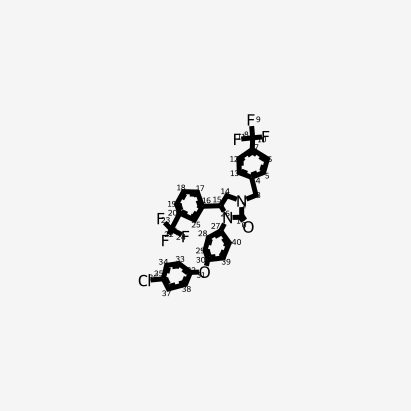 O=C1N(Cc2ccc(C(F)(F)F)cc2)CC(c2cccc(C(F)(F)F)c2)N1c1ccc(Oc2ccc(Cl)cc2)cc1